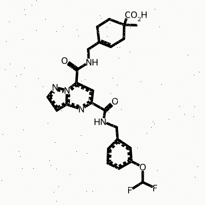 CC1(C(=O)O)CC=C(CNC(=O)c2cc(C(=O)NCc3cccc(OC(F)F)c3)nc3ccnn23)CC1